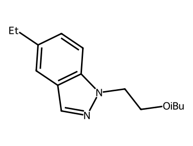 CCc1ccc2c(cnn2CCOCC(C)C)c1